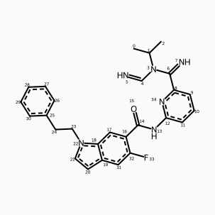 CC(C)N(C=N)C(=N)c1cccc(NC(=O)c2cc3c(ccn3CCc3ccccc3)cc2F)n1